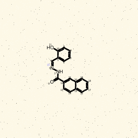 O=C(N/N=C\c1ccccc1O)c1ccc2ccccc2c1